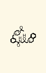 CC(=O)N1CCN(Cc2cccc(C(=O)NCC(O)CN3CCc4ccccc4C3)c2)CC1